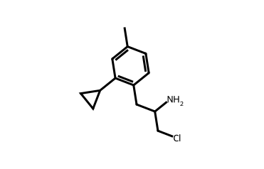 Cc1ccc(CC(N)CCl)c(C2CC2)c1